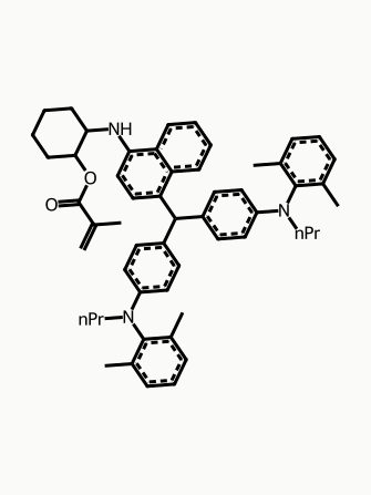 C=C(C)C(=O)OC1CCCCC1Nc1ccc(C(c2ccc(N(CCC)c3c(C)cccc3C)cc2)c2ccc(N(CCC)c3c(C)cccc3C)cc2)c2ccccc12